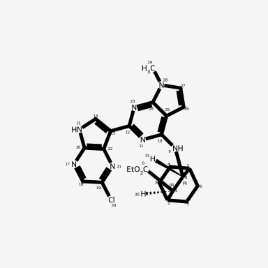 CCOC(=O)[C@@H]1C2CCC(CC2)[C@H]1Nc1nc(-c2c[nH]c3ncc(Cl)nc23)nc2c1ccn2C